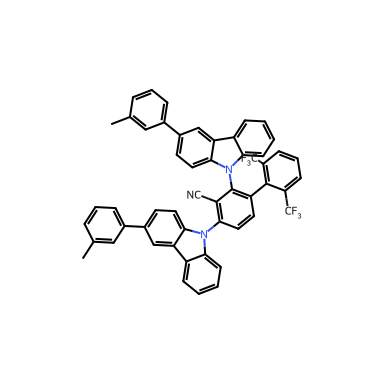 Cc1cccc(-c2ccc3c(c2)c2ccccc2n3-c2ccc(-c3c(C(F)(F)F)cccc3C(F)(F)F)c(-n3c4ccccc4c4cc(-c5cccc(C)c5)ccc43)c2C#N)c1